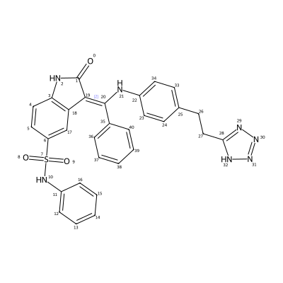 O=C1Nc2ccc(S(=O)(=O)Nc3ccccc3)cc2/C1=C(/Nc1ccc(CCc2nnn[nH]2)cc1)c1ccccc1